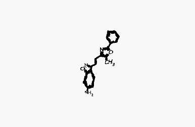 Cc1oc(-c2ccccc2)nc1CCc1noc2cc(N)ccc12